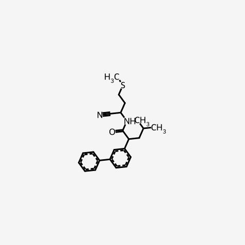 CSCCC(C#N)NC(=O)C(CC(C)C)c1cccc(-c2ccccc2)c1